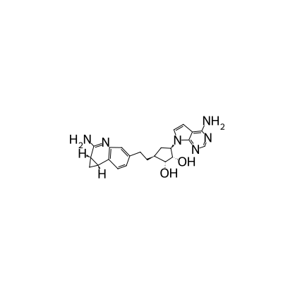 NC1=Nc2cc(CC[C@H]3C[C@@H](n4ccc5c(N)ncnc54)[C@H](O)[C@@H]3O)ccc2[C@@H]2C[C@H]12